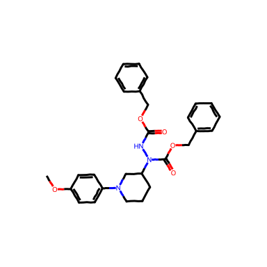 COc1ccc(N2CCCC(N(NC(=O)OCc3ccccc3)C(=O)OCc3ccccc3)C2)cc1